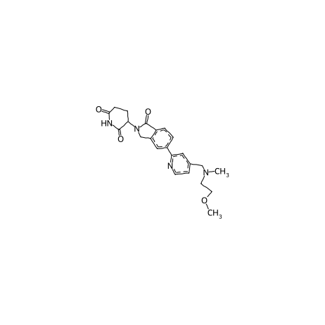 COCCN(C)Cc1ccnc(-c2ccc3c(c2)CN(C2CCC(=O)NC2=O)C3=O)c1